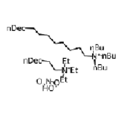 CCCCCCCCCCCCCCCCCC[N+](CCCC)(CCCC)CCCC.CCCCCCCCCCCC[N+](CC)(CC)CC.O=[N+]([O-])[O-].[OH-]